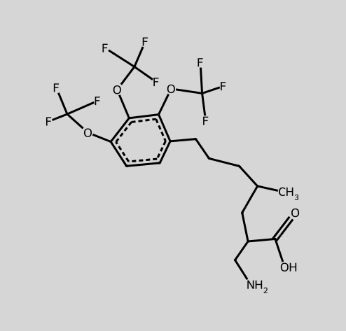 CC(CCCc1ccc(OC(F)(F)F)c(OC(F)(F)F)c1OC(F)(F)F)CC(CN)C(=O)O